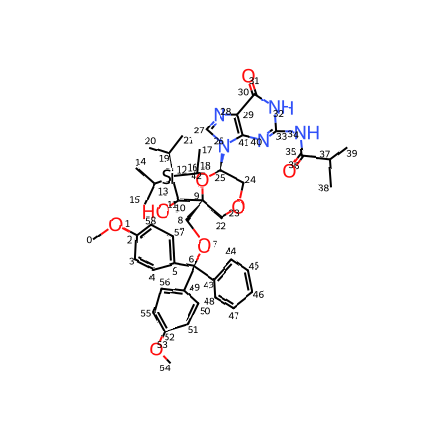 COc1ccc(C(OC[C@]2(C(O)[Si](C(C)C)(C(C)C)C(C)C)COC[C@H](n3cnc4c(=O)[nH]c(NC(=O)C(C)C)nc43)O2)(c2ccccc2)c2ccc(OC)cc2)cc1